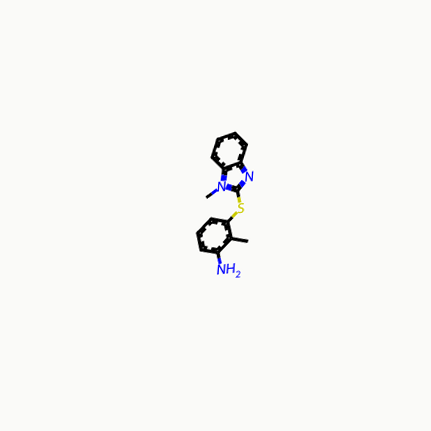 Cc1c(N)cccc1Sc1nc2ccccc2n1C